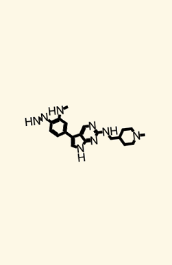 CNc1cc(-c2c[nH]c3nc(NCC4CCN(C)CC4)ncc23)ccc1N=N